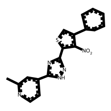 Cc1cc(-c2nc(-c3scc(-c4ccccc4)c3[N+](=O)[O-])n[nH]2)ccn1